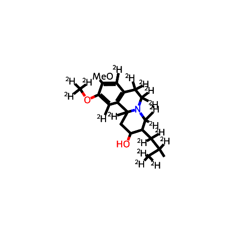 [2H]c1c(OC([2H])([2H])[2H])c(OC)c([2H])c2c1C1([2H])CC(O)C(C([2H])([2H])C([2H])(C)C([2H])([2H])[2H])C([2H])([2H])N1C([2H])([2H])C2([2H])[2H]